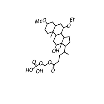 CCOC1CC2CC(OC)CCC2(C)C2CC(O)C3(C)C(C(C)CCC(=O)OCOP(=O)(O)O)CCC3C12